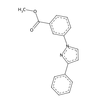 COC(=O)c1cccc(-n2ccc(-c3ccccc3)n2)c1